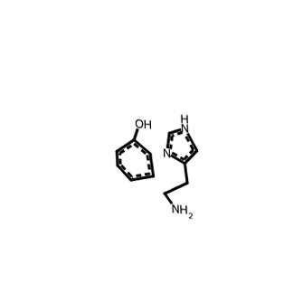 NCCc1c[nH]cn1.Oc1ccccc1